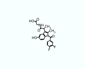 Cc1c(C(C)C(=O)NCC(=O)O)c2cc(O)ccc2n1C(=O)c1ccc(F)c(F)c1